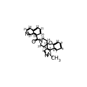 Cn1ncc2c1-c1ccccc1OC21CCN(C(=O)c2cccc3ccncc23)CC1